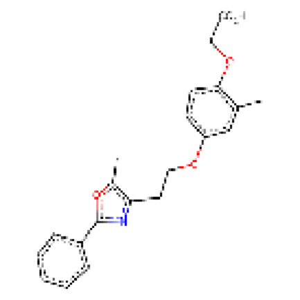 Cc1cc(OCCc2nc(-c3ccccc3)oc2C)ccc1OCC(=O)O